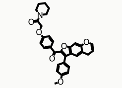 COc1ccc(-c2c(C(=O)c3ccc(OCC(=O)N4CCCCC4)cc3)oc3cc4c(cc23)CC=CO4)cc1